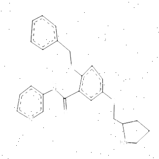 O=C(Nc1cccnc1)c1cc(OCC2CCCN2)ccc1OCc1ccccc1